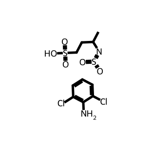 CC(CCS(=O)(=O)O)N=S(=O)=O.Nc1c(Cl)cccc1Cl